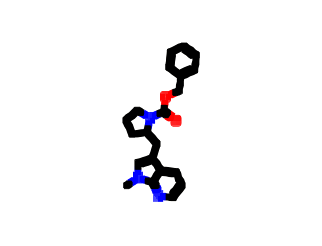 Cn1cc(CC2CCCN2C(=O)OCc2ccccc2)c2cccnc21